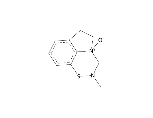 CN1C[N+]2([O-])CCc3cccc(c32)S1